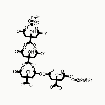 O=C([O-])CC(O)(CC(=O)[O-])C(=O)[O-].O=C([O-])CC(O)(CC(=O)[O-])C(=O)[O-].O=C([O-])CC(O)(CC(=O)[O-])C(=O)[O-].O=C([O-])CC(O)(CC(=O)[O-])C(=O)[O-].[O]=[Zr+2].[O]=[Zr+2].[O]=[Zr+2].[Pb+2].[Pb+2].[Pb+2]